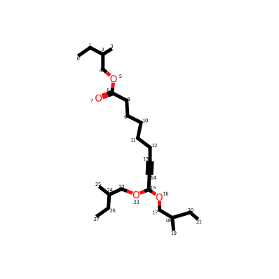 CCC(C)COC(=O)CCCCCC#CC(OCC(C)CC)OCC(C)CC